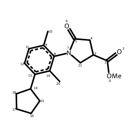 COC(=O)C1CC(=O)N(c2c(C)ccc(C3CCCC3)c2C)C1